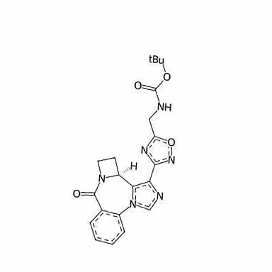 CC(C)(C)OC(=O)NCc1nc(-c2ncn3c2[C@@H]2CCN2C(=O)c2ccccc2-3)no1